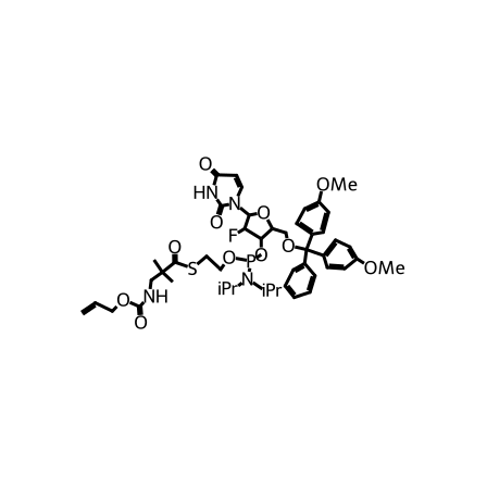 C=CCOC(=O)NCC(C)(C)C(=O)SCCOP(OC1C(COC(c2ccccc2)(c2ccc(OC)cc2)c2ccc(OC)cc2)OC(n2ccc(=O)[nH]c2=O)C1F)N(C(C)C)C(C)C